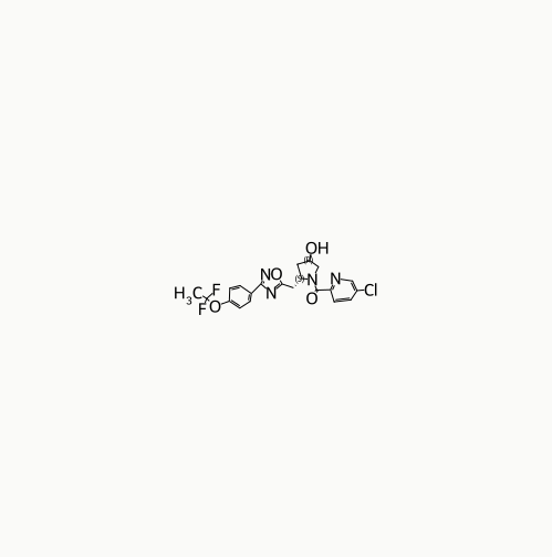 CC(F)(F)Oc1ccc(-c2noc(C[C@@H]3C[C@@H](O)CN3C(=O)c3ccc(Cl)cn3)n2)cc1